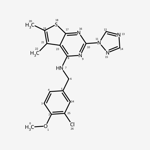 COc1ccc(CNc2nc(-n3cncn3)nc3sc(C)c(C)c23)cc1Cl